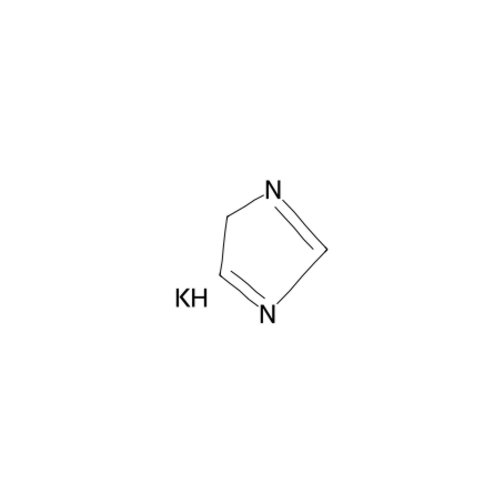 C1=NC=NC1.[KH]